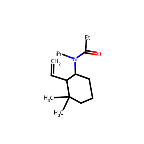 C=CC1C(N(C(=O)CC)C(C)C)CCCC1(C)C